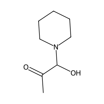 CC(=O)C(O)N1CCCCC1